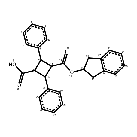 O=C(O)C1C(c2ccccc2)C(C(=O)OC2Cc3ccccc3C2)C1c1ccccc1